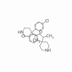 CC(C(=O)C(C)C1(c2ccc(Cl)cc2)CCNCC1)C1(c2ccc(Cl)cc2)CCNCC1